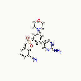 N#Cc1cccc(CS(=O)(=O)c2cc(-c3cnc(N)nc3)cc(N3CCOCC3)c2)c1